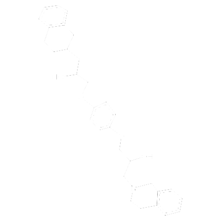 OC(COc1ccc(OCC(O)CN2CCc3ccccc3C2)cc1)CC1CCc2ccccc2C1